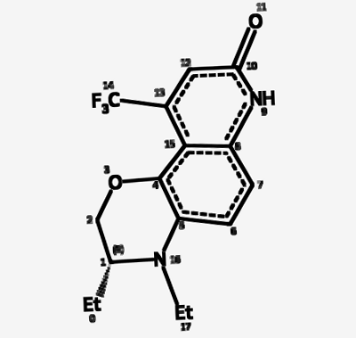 CC[C@@H]1COc2c(ccc3[nH]c(=O)cc(C(F)(F)F)c23)N1CC